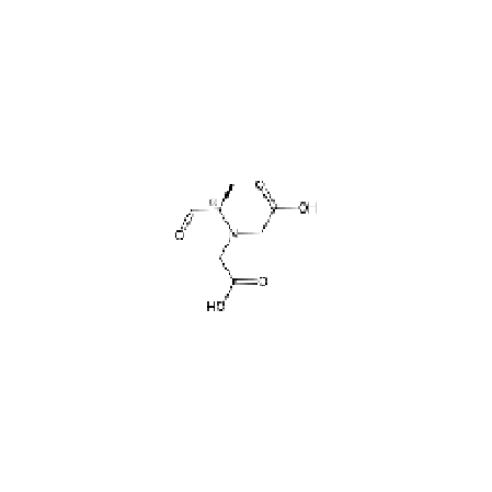 C[C@H](C=O)N(CC(=O)O)CC(=O)O